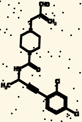 C=C(C=O)CN1CCN(C(=O)NC(C)C#Cc2ccc(Cl)cc2Cl)CC1